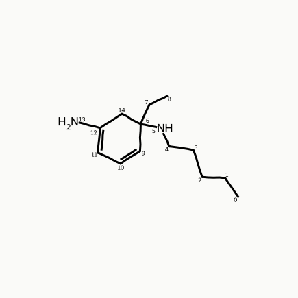 CCCCCNC1(CC)C=CC=C(N)C1